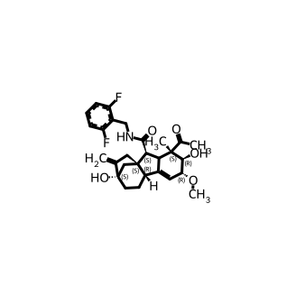 C=C1C[C@]23C[C@@]1(O)CC[C@H]2C1=C[C@@H](OC)[C@H](O)[C@@](C)(C(C)=O)C1[C@@H]3C(=O)NCc1c(F)cccc1F